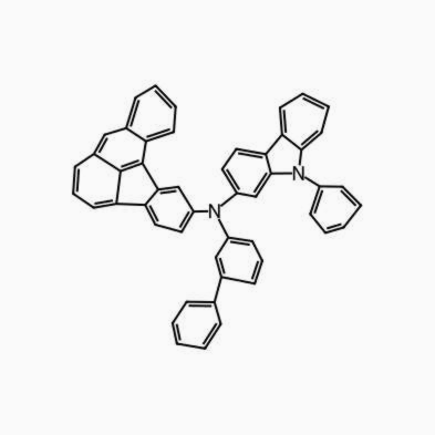 c1ccc(-c2cccc(N(c3ccc4c(c3)-c3c5ccccc5cc5cccc-4c35)c3ccc4c5ccccc5n(-c5ccccc5)c4c3)c2)cc1